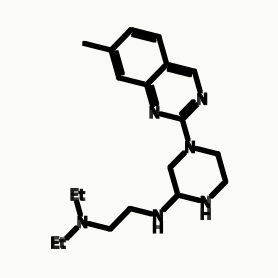 CCN(CC)CCNC1CN(c2ncc3ccc(C)cc3n2)CCN1